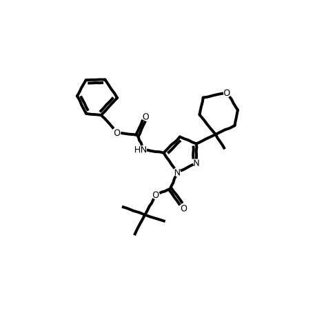 CC(C)(C)OC(=O)n1nc(C2(C)CCOCC2)cc1NC(=O)Oc1ccccc1